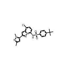 Cc1cc(-c2cc3c(Cl)ccc(NS(=O)(=O)c4ccc(C(C)(C)C)cc4)n3n2)n(C)n1